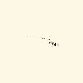 CCCCCCCCCCCC=Cc1cccc(CC(C(=O)O)C(=O)O)c1